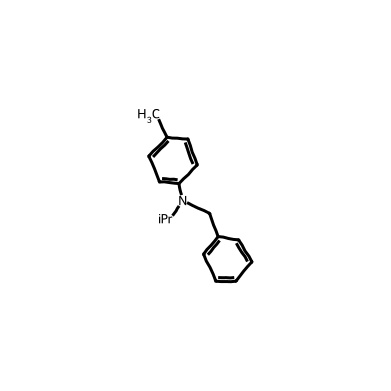 Cc1ccc(N(Cc2ccccc2)C(C)C)cc1